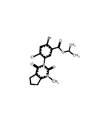 CC(C)OC(=O)c1cc(-n2c(=O)c3c(n(C)c2=O)CCC3)c(Cl)cc1Br